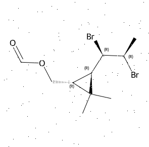 C[C@@H](Br)[C@H](Br)[C@@H]1[C@@H](COC=O)C1(C)C